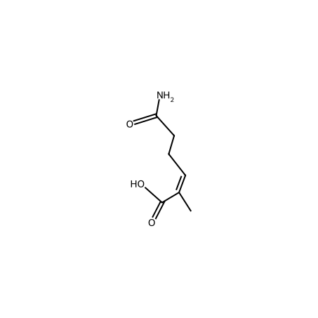 CC(=CCCC(N)=O)C(=O)O